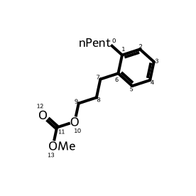 CCCCCc1ccccc1CCCOC(=O)OC